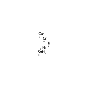 [Cr].[Cu].[Ni].[SnH4].[Ti]